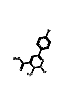 COC(=O)C1=CC(c2ccc(Br)cc2)=N[S+]([O-])N1C